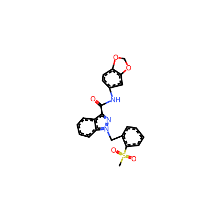 CS(=O)(=O)c1ccccc1Cn1nc(C(=O)Nc2ccc3c(c2)OCO3)c2ccccc21